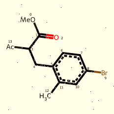 COC(=O)C(Cc1ccc(Br)cc1C)C(C)=O